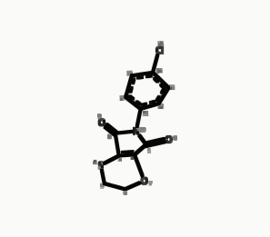 O=C1C2=C(SCCO2)C(=O)N1c1ccc(Cl)cc1